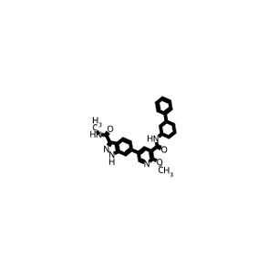 CNC(=O)c1n[nH]c2cc(-c3cnc(OC)c(C(=O)NC4CCCC(c5ccccc5)C4)c3)ccc12